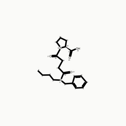 CCCCN(Cc1ccccc1)C(=O)CCC(=O)N1CCC[C@H]1C(=O)O